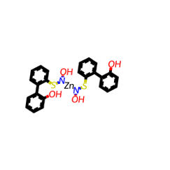 Oc1ccccc1-c1ccccc1S[N](O)[Zn][N](O)Sc1ccccc1-c1ccccc1O